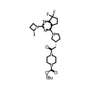 C[C@H]1CCN1c1nc(N2CC[C@H](CC(=O)N3CCN(C(=O)OC(C)(C)C)CC3)C2)c2c(n1)C(F)(F)CC2